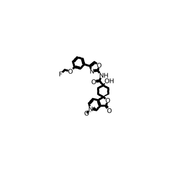 O=C1O[C@]2(CC[C@@](O)(C(=O)Nc3nc(-c4cccc(OCF)c4)co3)CC2)c2cc[n+]([O-])cc21